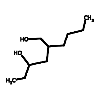 CCCCC(CO)CC(O)CC